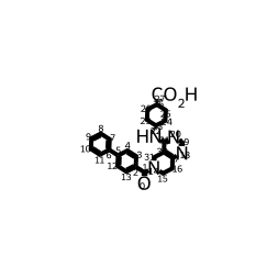 O=C(c1ccc(-c2ccccc2)cc1)N1CCc2ncnc(N[C@H]3CC[C@@H](C(=O)O)CC3)c2C1